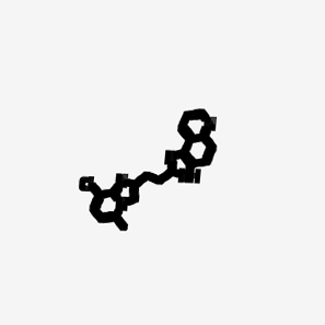 Cc1ccc(Cl)c2nc(CCc3nc4c(ccc5ncccc54)[nH]3)cn12